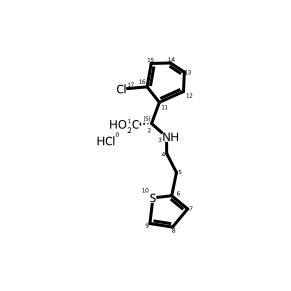 Cl.O=C(O)[C@@H](NCCc1cccs1)c1ccccc1Cl